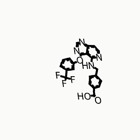 O=C(O)c1ccc(CNc2nccc3ncnc(Oc4cccc(C(F)(F)F)c4)c23)cc1